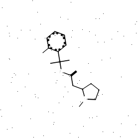 CN1CCCC1CC(=O)NC(C)(C)c1ccccc1F